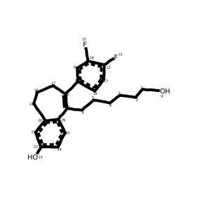 OCCCCCCC1=C(c2ccc(F)c(F)c2)CCCc2cc(O)ccc21